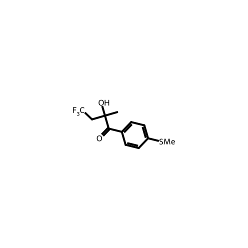 CSc1ccc(C(=O)C(C)(O)CC(F)(F)F)cc1